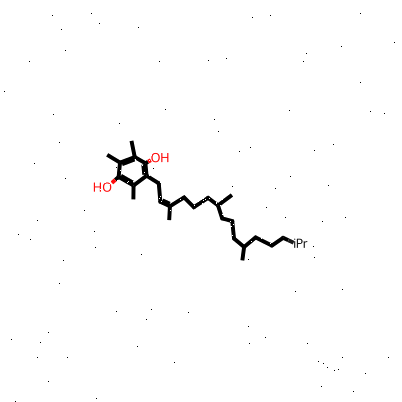 CC(=CCc1c(C)c(O)c(C)c(C)c1O)CCCC(C)CCCC(C)CCCC(C)C